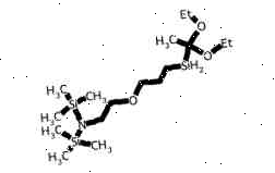 CCOC(C)(OCC)[SiH2]CCCOCCN([Si](C)(C)C)[Si](C)(C)C